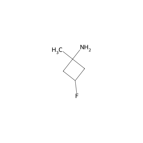 CC1(N)CC(F)C1